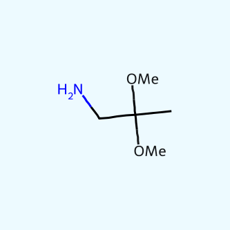 COC(C)(CN)OC